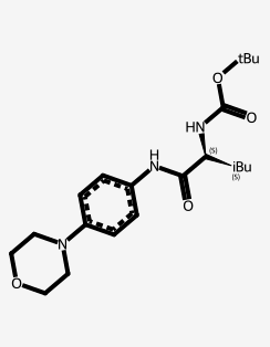 CC[C@H](C)[C@H](NC(=O)OC(C)(C)C)C(=O)Nc1ccc(N2CCOCC2)cc1